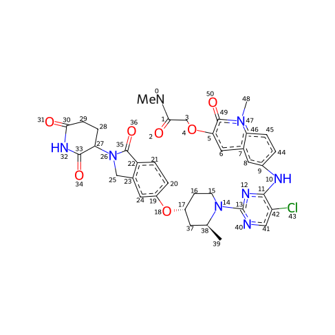 CNC(=O)COc1cc2cc(Nc3nc(N4CC[C@@H](Oc5ccc6c(c5)CN(C5CCC(=O)NC5=O)C6=O)C[C@@H]4C)ncc3Cl)ccc2n(C)c1=O